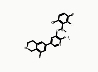 C[C@@H](Oc1cc(-c2cc(F)c3c(c2)CCNC3)cnc1N)c1c(Cl)ccc(F)c1Cl